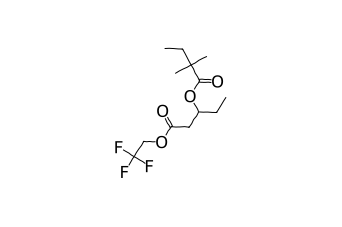 CCC(CC(=O)OCC(F)(F)F)OC(=O)C(C)(C)CC